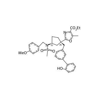 CCOC(=O)c1nc([C@@]2(Cc3cccc(-c4ccccc4O)c3)CC[C@H](N(Cc3ccc(OC)cc3)S(C)(=O)=O)C2)oc1C